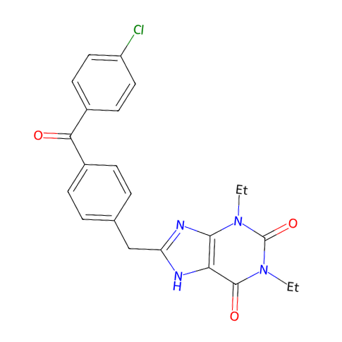 CCn1c(=O)c2[nH]c(Cc3ccc(C(=O)c4ccc(Cl)cc4)cc3)nc2n(CC)c1=O